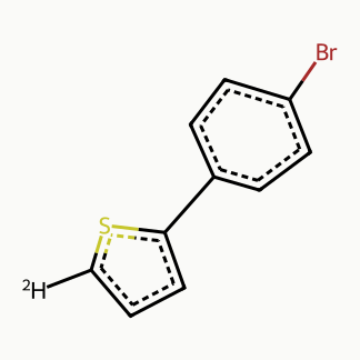 [2H]c1ccc(-c2ccc(Br)cc2)s1